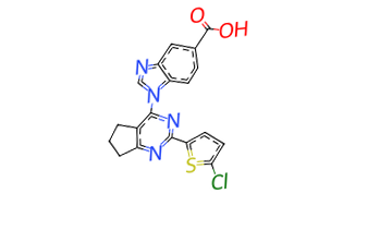 O=C(O)c1ccc2c(c1)ncn2-c1nc(-c2ccc(Cl)s2)nc2c1CCC2